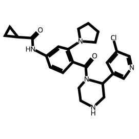 O=C(Nc1ccc(C(=O)N2CCNCC2c2cncc(Cl)c2)c(N2CCCC2)c1)C1CC1